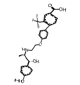 C[C@@H](NCCOc1ccc(-c2ccc(C(=O)O)cc2C(F)(F)F)cc1)[C@H](O)c1ccc(O)cc1